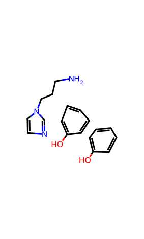 NCCCn1ccnc1.Oc1ccccc1.Oc1ccccc1